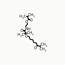 C=C(C)C(=O)OCCNC(=O)C(C)(C)OCCCCCC(=O)C(C)C